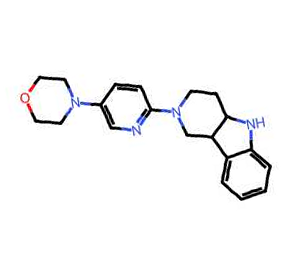 c1ccc2c(c1)NC1CCN(c3ccc(N4CCOCC4)cn3)CC21